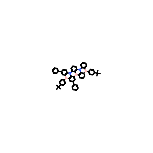 CC(C)(C)c1ccc(B2c3cc(-c4ccccc4)ccc3N3c4cccc5c4B(C4=C6C(CC=C4)B(C4=CCC(C(C)(C)C)C=C4)c4ccccc4N65)c4cc(-c5ccccc5)cc2c43)cc1